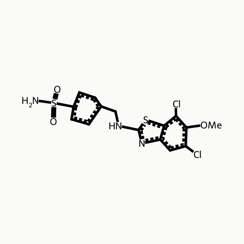 COc1c(Cl)cc2nc(NCc3ccc(S(N)(=O)=O)cc3)sc2c1Cl